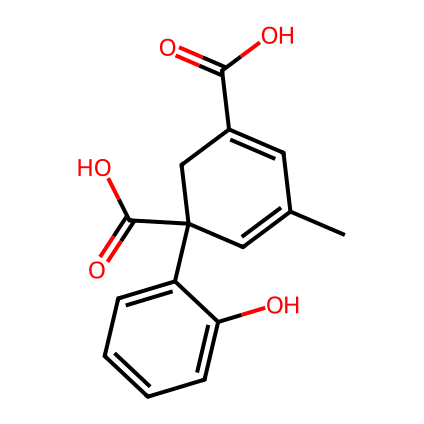 CC1=CC(C(=O)O)(c2ccccc2O)CC(C(=O)O)=C1